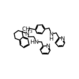 CC1(N(CCNCc2ccccn2)Cc2ccc(CNCc3ccccn3)cc2)CCCc2ccccc21